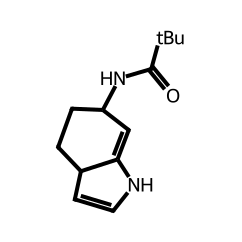 CC(C)(C)C(=O)NC1C=C2NC=CC2CC1